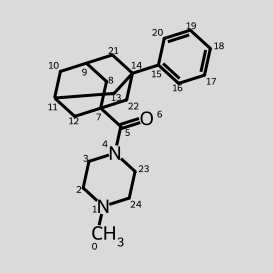 CN1CCN(C(=O)C23CC4CC(C2)CC(c2ccccc2)(C4)C3)CC1